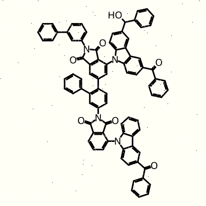 O=C(c1ccccc1)c1ccc2c(c1)c1ccccc1n2-c1cccc2c1C(=O)N(c1ccc(-c3cc4c(c(-n5c6ccc(C(=O)c7ccccc7)cc6c6cc(C(O)c7ccccc7)ccc65)c3)C(=O)N(c3cccc(-c5ccccc5)c3)C4=O)c(-c3ccccc3)c1)C2=O